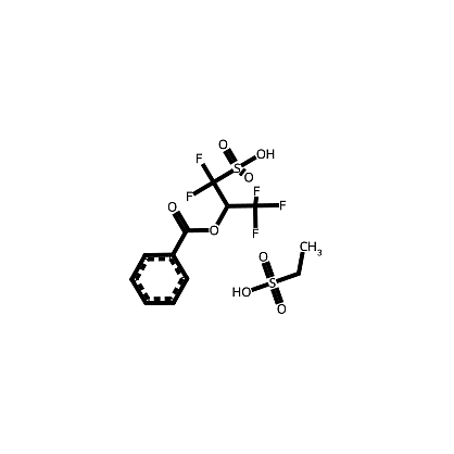 CCS(=O)(=O)O.O=C(OC(C(F)(F)F)C(F)(F)S(=O)(=O)O)c1ccccc1